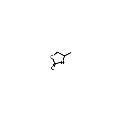 CC1COC(=O)[N]1